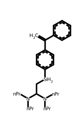 C=C(c1ccccc1)c1ccc([SiH2]CC(N(CCC)CCC)N(CCC)CCC)cc1